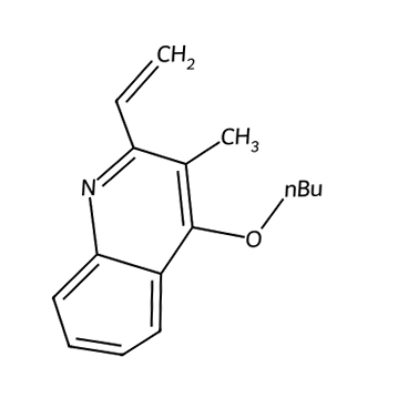 C=Cc1nc2ccccc2c(OCCCC)c1C